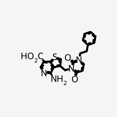 Nc1ncc(C(=O)O)c2scc(Cn3c(=O)ccn(CCc4ccccc4)c3=O)c12